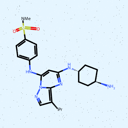 CNS(=O)(=O)c1ccc(Nc2cc(N[C@H]3CC[C@H](N)CC3)nc3c(C(C)C)cnn23)cc1